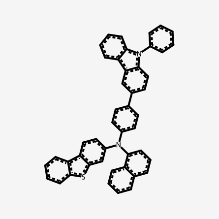 c1ccc(-n2c3ccccc3c3cc(-c4ccc(N(c5ccc6c(c5)sc5ccccc56)c5cccc6ccccc56)cc4)ccc32)cc1